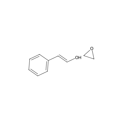 C1CO1.OC=Cc1ccccc1